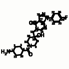 NC1CCC(C(=O)N2CCC(O)(Cn3cnc4c(cnn4-c4ccc(F)cc4)c3=O)CC2)CC1